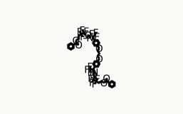 O=C(OCCC(F)(F)C(F)(F)SON=C(c1ccc(OCCCOc2ccc(C(=NOSC(F)(F)C(F)(F)CCOC(=O)c3ccccc3)C(F)(F)F)cc2)cc1)C(F)(F)F)c1ccccc1